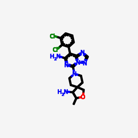 CC1OCC2(CCN(c3nc(N)c(-c4cccc(Cl)c4Cl)c4ncnn34)CC2)C1N